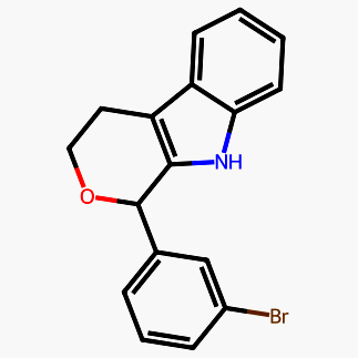 Brc1cccc(C2OCCc3c2[nH]c2ccccc32)c1